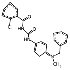 C[N+](Cc1ccccc1)=C1C=CC(NC(=O)NC(=O)c2ccccc2Cl)=CC1